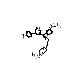 COc1ccc2c(c1)c(-c1cncc(-c3ccc(Cl)cc3)c1)cn2CCCN1CCN(C)CC1